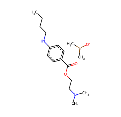 CCCCNc1ccc(C(=O)OCCN(C)C)cc1.C[S+](C)[O-]